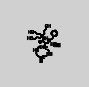 Cl.Cl.Cl.O=C(NC(CCCO)(CCCO)CCCO)C(COCc1ccccc1)N1CCNCCNCCNCC1